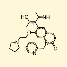 CC(=N)/C(=C(/C)O)c1cc2ccc(=O)n(Cc3ccccn3)c2cc1OCCN1CCCC1